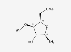 B[C@@H]1O[C@H](COC)[C@H](OC(C)C)C1O